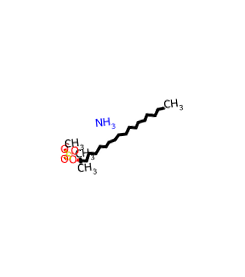 CCCCCCCCCCCCCCCCCCC(C)(C)OS(=O)(=O)OC.N